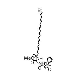 CCC=CCC=CCC=CCC=CCC=CCC=CCCC(=O)NC(CNC(=O)C1=CC(=O)C(C)(c2ccccc2)O1)C(=O)OC